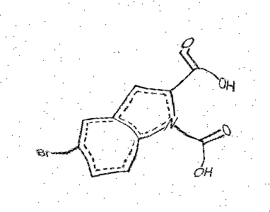 O=C(O)c1cc2cc(Br)ccc2n1C(=O)O